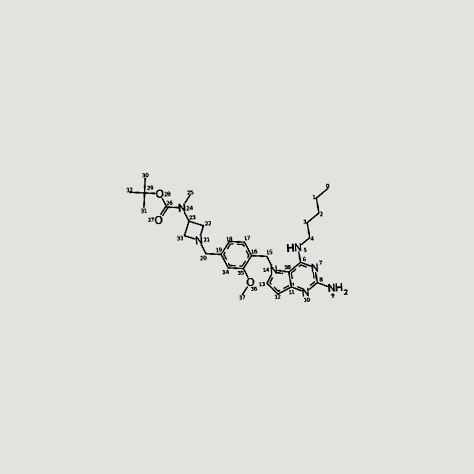 CCCCCNc1nc(N)nc2ccn(Cc3ccc(CN4CC(N(C)C(=O)OC(C)(C)C)C4)cc3OC)c12